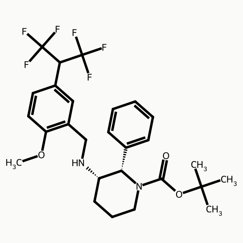 COc1ccc(C(C(F)(F)F)C(F)(F)F)cc1CN[C@H]1CCCN(C(=O)OC(C)(C)C)[C@H]1c1ccccc1